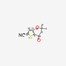 CC1(C)CC(=O)c2sc(C#N)cc2O1